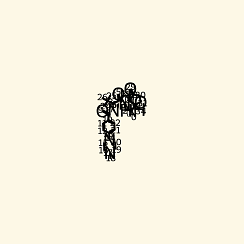 C[C@H]1CN(C(=O)[C@@H](NC(=O)c2ccc(N3CCN(C)CC3)cc2)C(C)(C)C)[C@@H]2C(=O)CO[C@@H]21